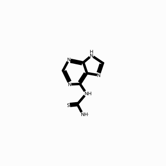 [NH]C(=S)Nc1ncnc2[nH]cnc12